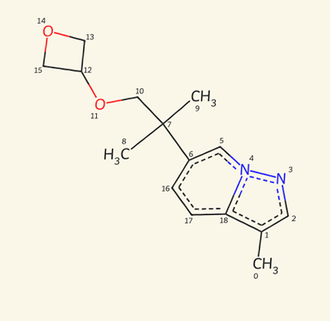 Cc1cnn2cc(C(C)(C)COC3COC3)ccc12